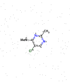 CNc1nc(C)ncc1Cl